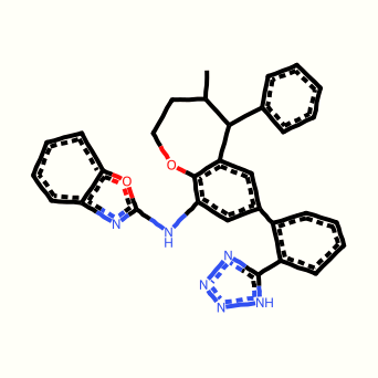 CC1CCOc2c(Nc3nc4ccccc4o3)cc(-c3ccccc3-c3nnn[nH]3)cc2C1c1ccccc1